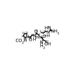 N=C(N)NCCC[C@H](NC(=O)[C@@H](N)CO)C(=O)NCC(=O)N1CCC[C@H]1C(=O)O